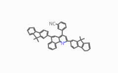 CC1(C)C2=C(CCC=C2)c2ccc(-c3cc(-c4cccc(C#N)c4)c4cc(-c5ccc6c(c5)C(C)(C)c5ccccc5-6)c5ccccc5c4n3)cc21